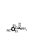 CCc1cc(C#N)cc(CC)c1OC[C@@H](O)CN